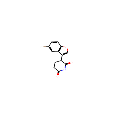 O=C1CCC(c2coc3ccc(Br)cc23)C(=O)N1